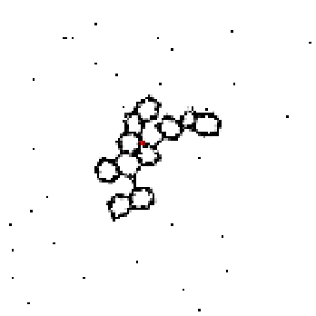 c1ccc(N(c2ccc(-c3ccc4oc5ccccc5c4c3)cc2)c2cccc3ccccc23)c(-c2ccc3c(c2)sc2ccccc23)c1